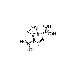 OB(O)c1ccc(B(O)O)c2snnc12